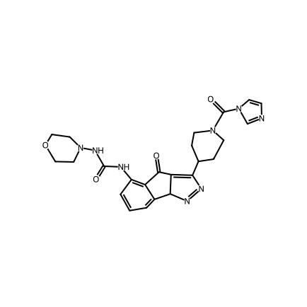 O=C(Nc1cccc2c1C(=O)C1=C(C3CCN(C(=O)n4ccnc4)CC3)N=NC12)NN1CCOCC1